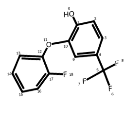 Oc1ccc(C(F)(F)F)cc1Oc1ccccc1F